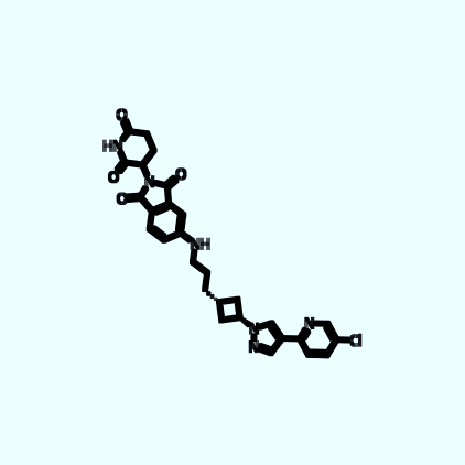 O=C1CCC(N2C(=O)c3ccc(NCCC[C@H]4C[C@H](n5cc(-c6ccc(Cl)cn6)cn5)C4)cc3C2=O)C(=O)N1